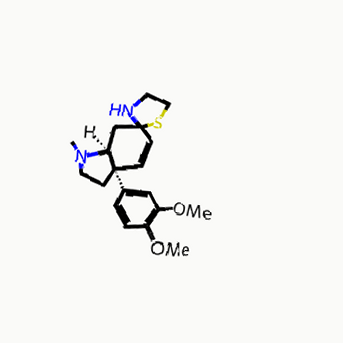 COc1ccc([C@@]23C=CC4(C[C@@H]2N(C)CC3)NCCS4)cc1OC